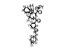 CC(C)OC(=O)C1=CN(C(=O)c2cccc(OCCN3CCN(C)CC3)c2)CC(C)(C)c2c1[nH]c1ccccc21